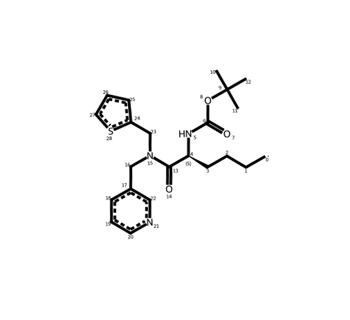 [CH2]CCC[C@H](NC(=O)OC(C)(C)C)C(=O)N(Cc1cccnc1)Cc1cccs1